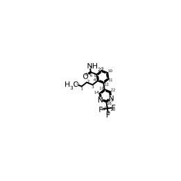 CCCCc1c(C(N)=O)cccc1-c1cnc(C(F)(F)F)nc1